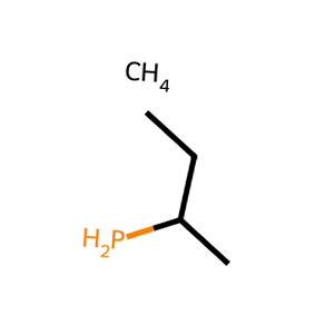 C.CCC(C)P